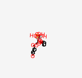 O=C1CC2CCC3(C(=O)OCC(COC(F)(F)C(O)(O)S(=O)(=O)O)OC(=O)C45CC6CC(C4)C(=O)C(C6)C5)CC1CC2C3